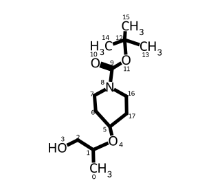 CC(CO)OC1CCN(C(=O)OC(C)(C)C)CC1